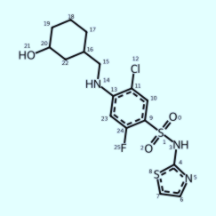 O=S(=O)(Nc1nccs1)c1cc(Cl)c(NCC2CCCC(O)C2)cc1F